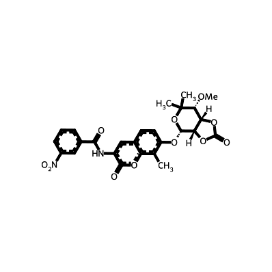 CO[C@@H]1[C@@H]2OC(=O)O[C@@H]2[C@H](Oc2ccc3cc(NC(=O)c4cccc([N+](=O)[O-])c4)c(=O)oc3c2C)OC1(C)C